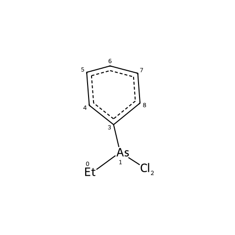 CC[As](Cl)c1ccccc1